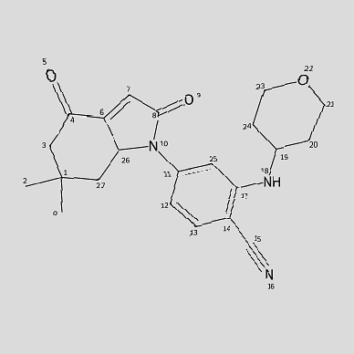 CC1(C)CC(=O)C2=CC(=O)N(c3ccc(C#N)c(NC4CCOCC4)c3)C2C1